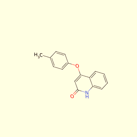 Cc1ccc(Oc2cc(=O)[nH]c3ccccc23)cc1